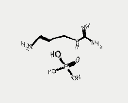 N=C(N)NCCCN.O=P(O)(O)O